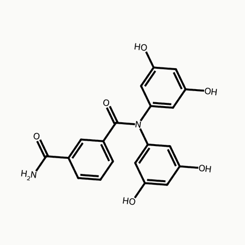 NC(=O)c1cccc(C(=O)N(c2cc(O)cc(O)c2)c2cc(O)cc(O)c2)c1